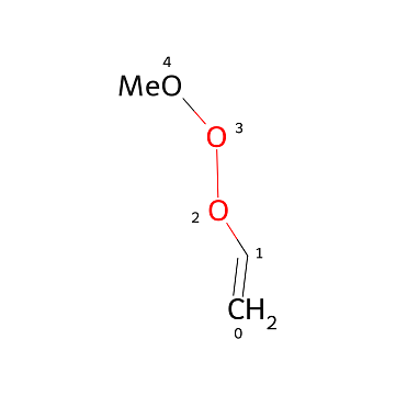 C=COOOC